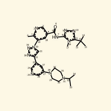 Cc1ncc(C(=O)Nc2nnc(C(C)(C)C)n2C)cc1-n1cc(-c2cncc(N3CCN(C(C)C)CC3)c2)nn1